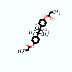 C=CC(=O)Oc1ccc(C(C)(C)C(C)(C)c2ccc(OC(=O)C=C)cc2)cc1